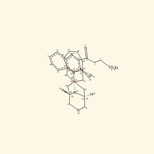 CCOC(=O)CCC(=O)c1nc2ccccc2n(C2C[C@H]3COC[C@H](C2)N3[C@@H]2CC3CCCC[C@H](C3)C2)c1=O